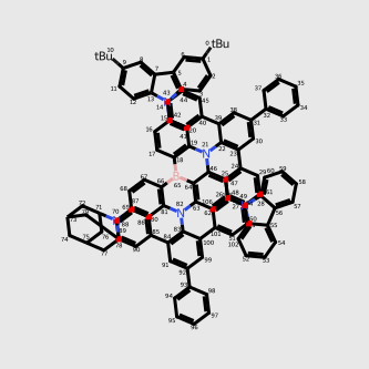 CC(C)(C)c1ccc2c(c1)c1cc(C(C)(C)C)ccc1n2-c1ccc2c(c1)N(c1c(-c3ccccc3)cc(-c3ccccc3)cc1-c1ccccc1)c1cc(-n3c4ccccc4c4ccccc43)cc3c1B2c1ccc(N2C4CC5CC(C4)CC2C5)cc1N3c1c(-c2ccccc2)cc(-c2ccccc2)cc1-c1ccccc1